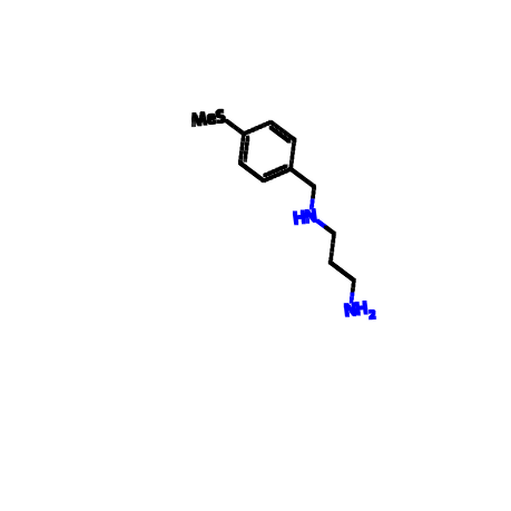 CSc1ccc(CNCCCN)cc1